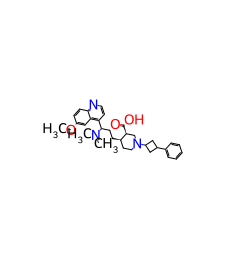 COc1ccc2nccc(C(CC[C@@H]3CCN(C4CC(c5ccccc5)C4)C[C@@H]3C(=O)O)N(C)C)c2c1